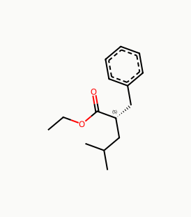 CCOC(=O)[C@H](Cc1ccccc1)CC(C)C